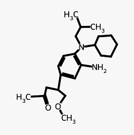 COCC(CC(C)=O)c1ccc(N(CC(C)C)C2CCCCC2)c(N)c1